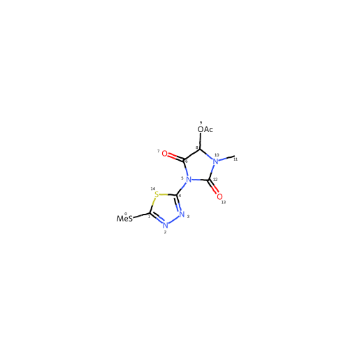 CSc1nnc(N2C(=O)C(OC(C)=O)N(C)C2=O)s1